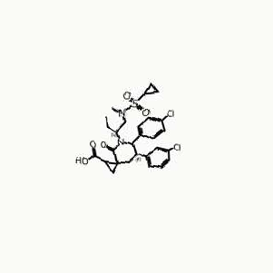 CC[C@@H](CN(C)S(=O)(=O)C1CC1)N1C(=O)C2(CC2C(=O)O)C[C@H](c2cccc(Cl)c2)C1c1ccc(Cl)cc1